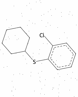 Clc1ccccc1SC1CCCCC1